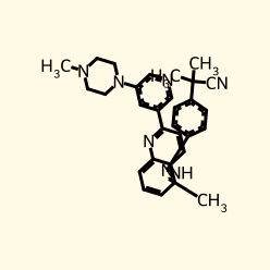 CC1NN(c2ccc(C(C)(C)C#N)cc2)C23C=CC(c4cncc(N5CCN(C)CC5)c4)=NC2=CC=CC13